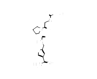 CCCCCCCCC(=O)NCC(=O)N1CCC[C@H]1C(=O)NCc1cc(C(=N)N)cs1